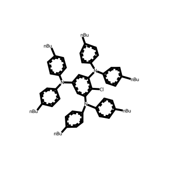 CCCCc1ccc(N(c2ccc(CCCC)cc2)c2cc(N(c3ccc(CCCC)cc3)c3ccc(CCCC)cc3)c(Cl)c(N(c3ccc(CCCC)cc3)c3ccc(CCCC)cc3)c2)cc1